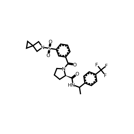 CC(NC(=O)[C@H]1CCCN1C(=O)c1cccc(S(=O)(=O)N2CC3(CC3)C2)c1)c1ccc(C(F)(F)F)cc1